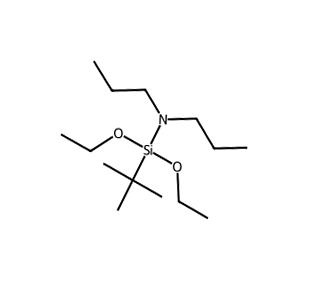 CCCN(CCC)[Si](OCC)(OCC)C(C)(C)C